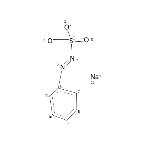 O=S(=O)([O-])N=Nc1ccccc1.[Na+]